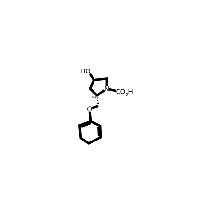 O=C(O)N1CC(O)C[C@H]1COC1=CCCC=C1